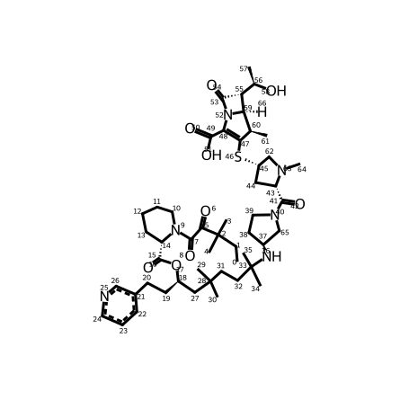 CCC(C)(C)C(=O)C(=O)N1CCCC[C@H]1C(=O)O[C@H](CCc1cccnc1)CC(C)(C)CCC(C)(C)N[C@H]1CCN(C(=O)[C@@H]2C[C@H](SC3=C(C(=O)O)N4C(=O)[C@H]([C@@H](C)O)[C@H]4[C@H]3C)CN2C)C1